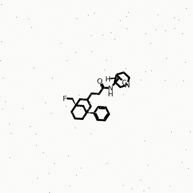 O=C(CCC1C[C@@]2(CF)CCC[C@@](c3ccccc3)(C1)C2)N[C@H]1CN2CCC1CC2